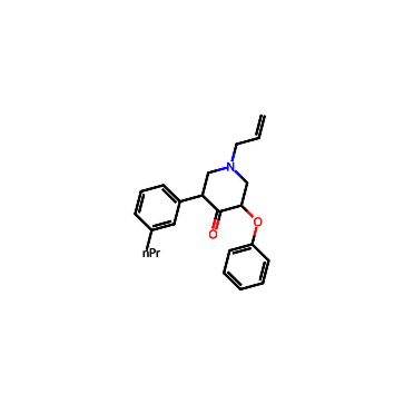 C=CCN1CC(Oc2ccccc2)C(=O)C(c2cccc(CCC)c2)C1